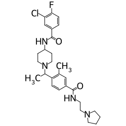 Cc1cc(C(=O)NCCN2CCCC2)ccc1C(C)N1CCC(NC(=O)c2ccc(F)c(Cl)c2)CC1